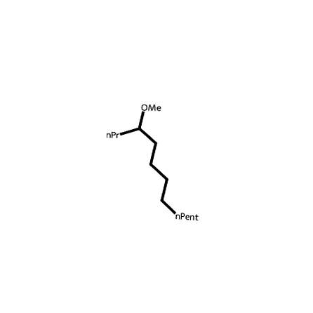 [CH2]OC(CCC)CCCCCCCCC